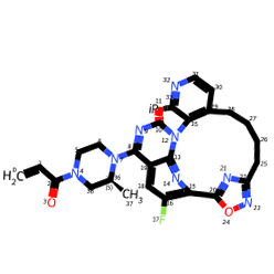 C=CC(=O)N1CCN(c2nc(=O)n3c4nc(c(F)cc24)-c2nc(no2)CCCCc2ccnc(C(C)C)c2-3)[C@@H](C)C1